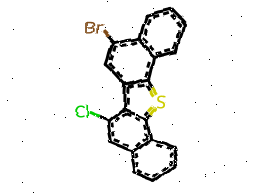 Clc1cc2ccccc2c2sc3c4ccccc4c(Br)cc3c12